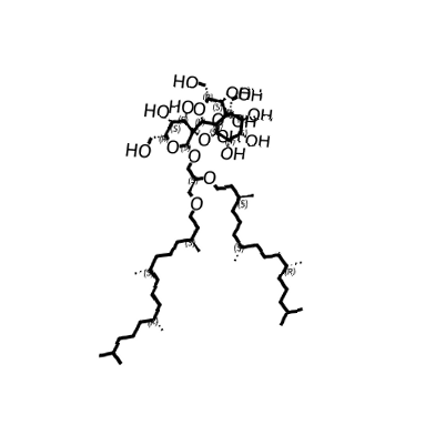 CC(C)CCC[C@@H](C)CCC[C@H](C)CCC[C@H](C)CCOC[C@@H](CO[C@H]1O[C@H](CO)[C@@H](O)[C@H](O)[C@@]1(O[C@@H]1O[C@H](CO)[C@@H](O)[C@H](O)[C@@H]1O)[C@@H]1O[C@H](CO)[C@@H](O)[C@H](O)[C@@H]1O)OCC[C@@H](C)CCC[C@@H](C)CCC[C@H](C)CCCC(C)C